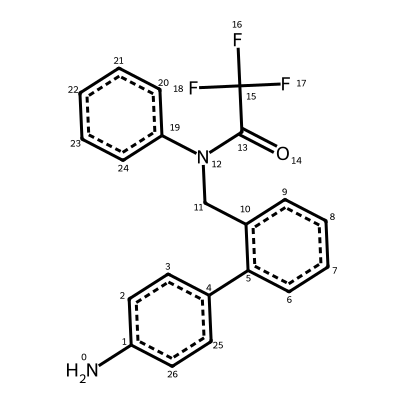 Nc1ccc(-c2ccccc2CN(C(=O)C(F)(F)F)c2ccccc2)cc1